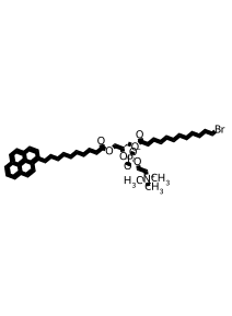 C[N+](C)(C)CCOP(=O)([O-])O[C@@H](COC(=O)CCCCCCCCCCCBr)COC(=O)CCCCCCCCCc1ccc2ccc3cccc4ccc1c2c34